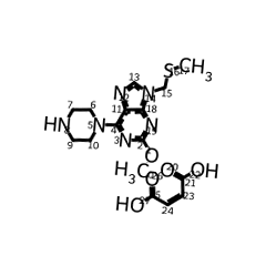 COc1nc(N2CCNCC2)c2ncn(CSC)c2n1.O=C(O)/C=C\C(=O)O